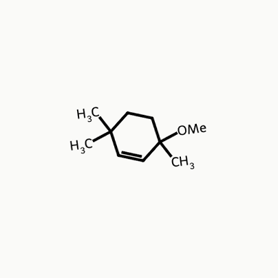 COC1(C)C=CC(C)(C)CC1